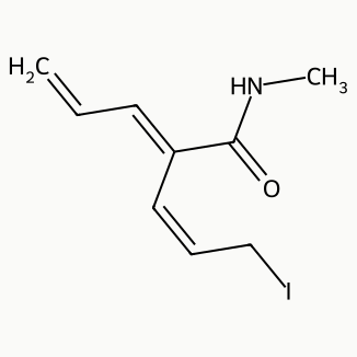 C=C/C=C(\C=C/CI)C(=O)NC